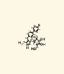 Cc1[nH]nc(O[C@@H]2O[C@H](CO)[C@@H](O)[C@H](O)[C@H]2O)c1Cc1ccc(-c2ccc(F)cc2)cc1